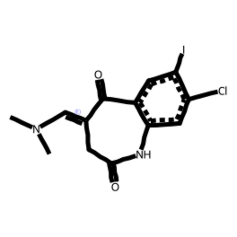 CN(C)/C=C1\CC(=O)Nc2cc(Cl)c(I)cc2C1=O